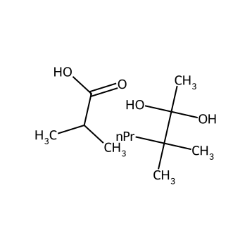 CC(C)C(=O)O.CCCC(C)(C)C(C)(O)O